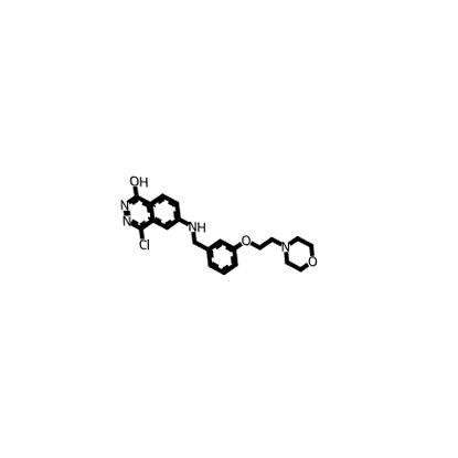 Oc1nnc(Cl)c2cc(NCc3cccc(OCCN4CCOCC4)c3)ccc12